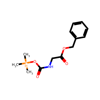 C[PH](C)(C)OC(=O)NCC(=O)OCc1ccccc1